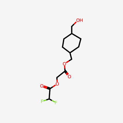 O=C(COC(=O)C(F)F)OCC1CCC(CO)CC1